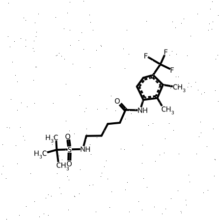 Cc1c(NC(=O)CCCCNS(=O)(=O)C(C)(C)C)ccc(C(F)(F)F)c1C